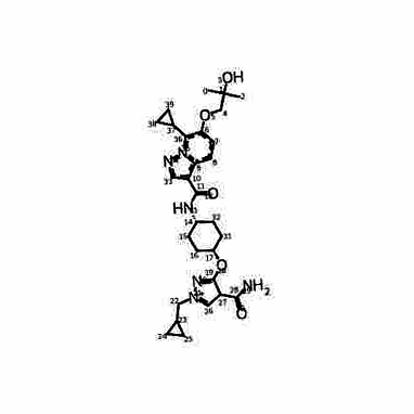 CC(C)(O)COc1ccc2c(C(=O)N[C@H]3CC[C@H](OC4=N[N+](CC5CC5)=CC4C(N)=O)CC3)cnn2c1C1CC1